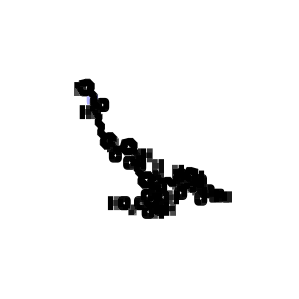 CC(C)(C)OC(=O)NC[C@@H](C(=O)NCCC(=O)Nc1cc(COC(=O)Nc2cccc(C(=O)N3CCC(CCCCNC(=O)/C=C/c4cccnc4)CC3)c2)ccc1O[C@@H]1O[C@H](C(=O)O)[C@@H](O)[C@H](O)[C@H]1O)N1C(=O)C=CC1=O